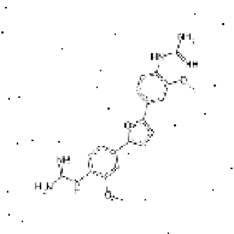 COc1cc(-c2ccc(-c3ccc(NC(=N)N)c(OC)c3)o2)ccc1NC(=N)N